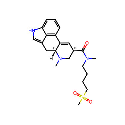 CN(CCCCS(C)(=O)=O)C(=O)[C@@H]1C=C2c3cccc4[nH]cc(c34)C[C@H]2N(C)C1